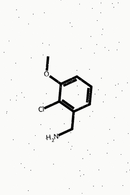 COc1cccc(CN)c1Cl